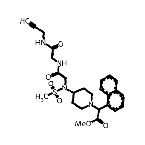 C#CCNC(=O)CNC(=O)CN(C1CCN(C(C(=O)OC)c2cccc3ccccc23)CC1)S(C)(=O)=O